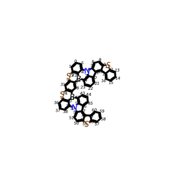 c1cc2c3c(c1)-n1c4ccc5sc6ccccc6c5c4c4cccc(c41)B3c1cc3c(cc1S2)Sc1cccc2c1B3c1cccc3c4c5c(ccc4n-2c13)sc1ccccc15